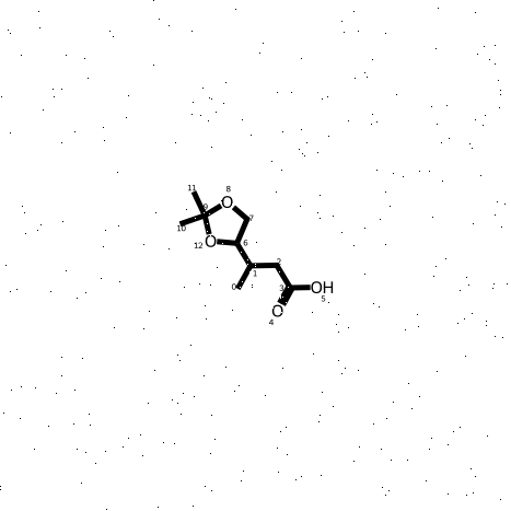 CC(CC(=O)O)C1COC(C)(C)O1